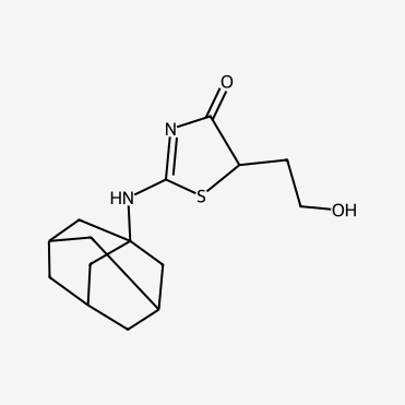 O=C1N=C(NC23CC4CC(CC(C4)C2)C3)SC1CCO